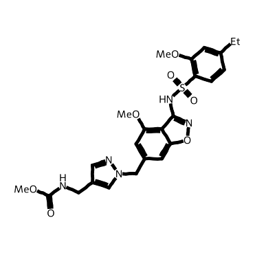 CCc1ccc(S(=O)(=O)Nc2noc3cc(Cn4cc(CNC(=O)OC)cn4)cc(OC)c23)c(OC)c1